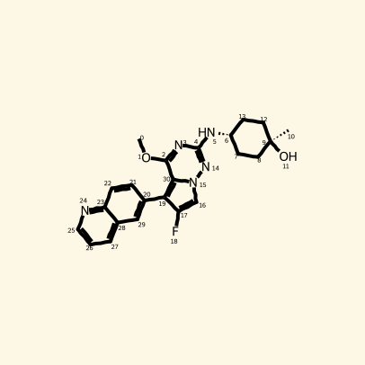 COc1nc(N[C@H]2CC[C@](C)(O)CC2)nn2cc(F)c(-c3ccc4ncccc4c3)c12